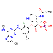 CCNc1nc(Nc2cc(C#N)cc(OC(=O)C(C)(OP(=O)(O)O)C3CNCCC3NC(=O)OC)c2Cl)nn2c(C#N)cnc12